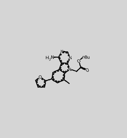 CCCCOC(=O)Cn1c2ncnc(N)c2c2cc(-c3ccco3)cc(C)c21